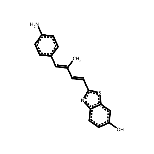 CC(/C=C/c1nc2ccc(O)cc2s1)=C\c1ccc(N)cc1